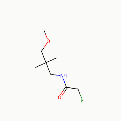 COCC(C)(C)CNC(=O)CF